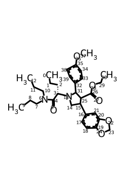 CCC[C@@H](C(=O)N(CCC)CCC)N1CC(c2ccc3c(c2)OCO3)C(C(=O)OCC)C1c1ccc(OC)cc1